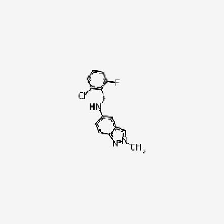 Cn1cc2cc(NCc3c(F)cccc3Cl)ccc2n1